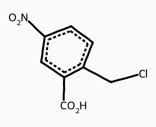 O=C(O)c1cc([N+](=O)[O-])ccc1CCl